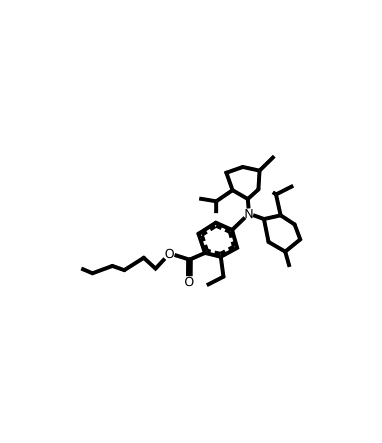 CCCCCCOC(=O)c1ccc(N(C2CC(C)CCC2C(C)C)C2CC(C)CCC2C(C)C)cc1CC